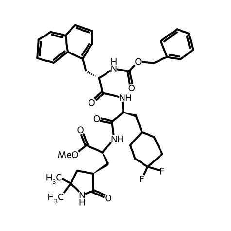 COC(=O)[C@H](C[C@@H]1CC(C)(C)NC1=O)NC(=O)[C@H](CC1CCC(F)(F)CC1)NC(=O)[C@H](Cc1cccc2ccccc12)NC(=O)OCc1ccccc1